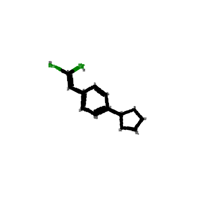 BrC(Br)=Cc1ccc(C2CCCC2)cc1